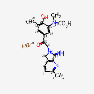 Br.Cc1ccc2c(n1)C(=N)N(CC(=O)c1cc(N(C)C(=O)O)c(O)c(C(C)(C)C)c1)C2